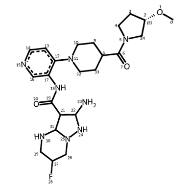 CO[C@H]1CCN(C(=O)C2CCN(c3ccncc3NC(=O)C3C(N)NN4CC(F)CNC34)CC2)C1